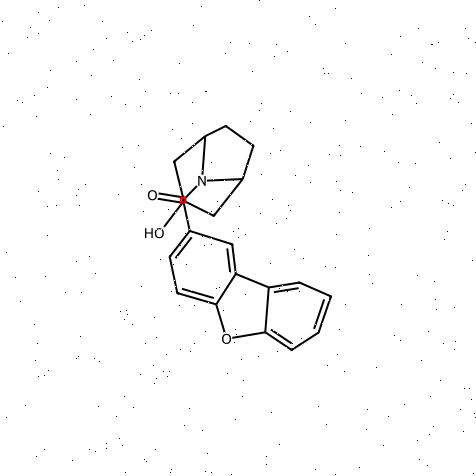 O=C(c1ccc2oc3ccccc3c2c1)N1C2CCC1CC(O)C2